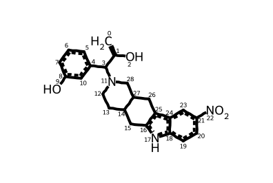 C=C(O)C(c1cccc(O)c1)N1CCC2Cc3[nH]c4ccc([N+](=O)[O-])cc4c3CC2C1